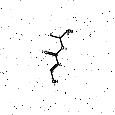 CCCCC(C)OC(=O)C=CO